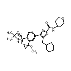 COC1(c2cc(-c3sc(C(=O)NC4CCOCC4)nc3CC3CCCCC3)ccc2S(=O)(=O)NC(C)(C)C)CC1